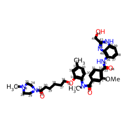 COc1cc(C(=O)N(C)c2ccc(C)cc2OCCCCCC(=O)N2CCN(C)CC2)ccc1C(=O)Nc1cccc2[nH]c(CO)nc12